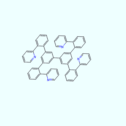 c1ccc(-c2ccccc2-c2cc(-c3cc(-c4ccccc4-c4ccccn4)cc(-c4ccccc4-c4ccccn4)c3)cc(-c3ccccc3-c3ccccn3)c2)nc1